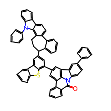 O=c1c2ccccc2c2cc(-c3cc(C4CCc5c(ccc6c7ccccc7n(-c7ccccc7)c56)-c5ccccc54)cc4c3sc3ccccc34)cc3c4cc(-c5ccccc5)ccc4n1c23